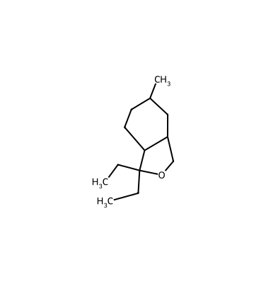 CCC1(CC)OCC2CC(C)CCC21